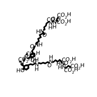 O=C(O)CC[C@H](NC(=O)N[C@@H](CCCCNC(=O)CCCCCNC(=O)CCc1ccc(O)c(CN(CCN(CC(=O)O)Cc2cc(CCC(=O)NCCCCCC(=O)NCCCC[C@H](NC(=O)N[C@@H](CCC(=O)O)C(=O)O)C(=O)O)ccc2O)CC(=O)O)c1)C(=O)O)C(=O)O